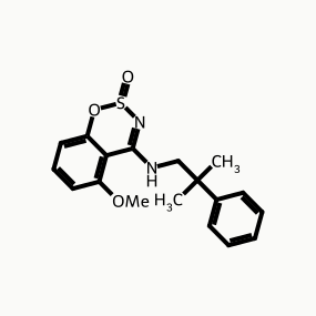 COc1cccc2c1C(NCC(C)(C)c1ccccc1)=NS(=O)O2